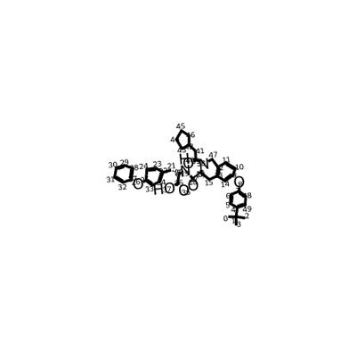 CC(C)(C)c1ccc(Oc2ccc3c(c2)C[C@@H](C(=O)N[C@@H](Cc2ccc(Oc4ccccc4)cc2)C(=O)O)N(C(=O)CC2CCCC2)C3)cc1